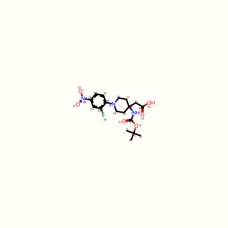 CC(C)(C)OC(=O)NC1(CC(=O)O)CCN(c2ccc([N+](=O)[O-])cc2F)CC1